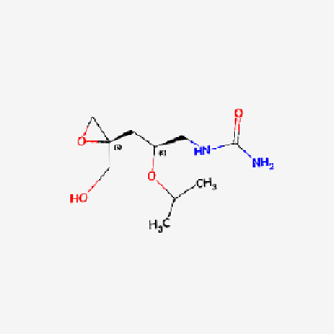 CC(C)O[C@H](CNC(N)=O)C[C@]1(CO)CO1